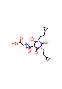 O=C(O)CNC(=O)c1c(O)n(CCC2CC2)c(=O)n(CCC2CC2)c1=O